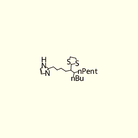 CCCCCC(CCCC)C(CCCCc1ncc[nH]1)C1SCCS1